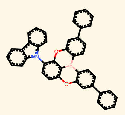 c1ccc(-c2ccc3c(c2)Oc2ccc(-n4c5ccccc5c5ccccc54)c4c2B3c2ccc(-c3ccccc3)cc2O4)cc1